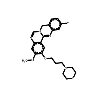 COc1cc2c(cc1OCCCN1CCOCC1)C1=Nc3cc(Cl)ccc3CN1C=N2